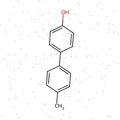 Cc1ccc(-c2ccc(O)cc2)cc1